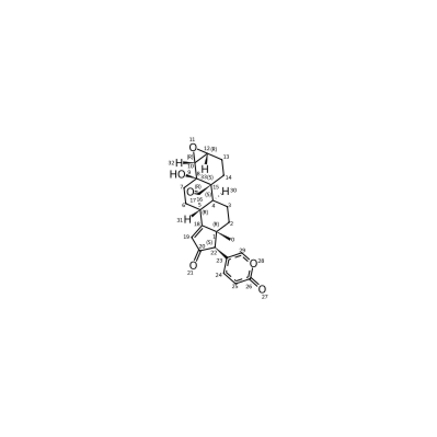 C[C@]12CC[C@H]3[C@@H](CC[C@]4(O)[C@@H]5O[C@@H]5CC[C@]34C=O)C1=CC(=O)[C@@H]2c1ccc(=O)oc1